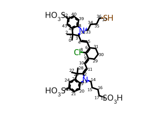 CC1(C)C(/C=C/C2=C(Cl)C(=C/C=C3/N(CCCCS(=O)(=O)O)c4ccc(S(=O)(=O)O)cc4C3(C)C)/CCC2)=[N+](CCCCS)c2ccc(S(=O)(=O)O)cc21